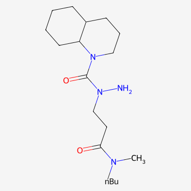 CCCCN(C)C(=O)CCN(N)C(=O)N1CCCC2CCCCC21